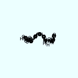 O=C1CCC(N2C(=O)c3cccc(NCc4ccc(CN5CCN(C[C@H]6CC[C@H](n7cc(NC(=O)c8cnn9ccc(N%10CCOCC%10)nc89)c(C(F)F)n7)CC6)CC5)cc4)c3C2=O)C(=O)N1